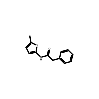 Cc1ccc(NC(=O)Cc2ccccc2)s1